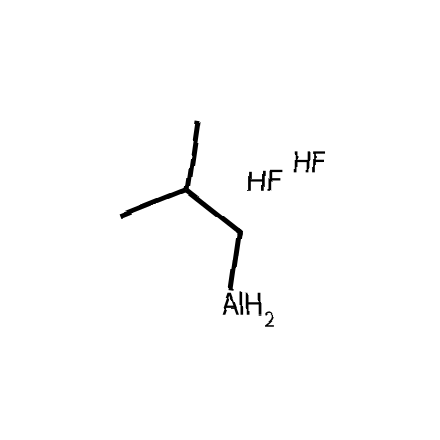 CC(C)[CH2][AlH2].F.F